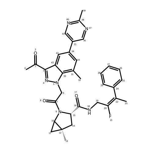 CC(=O)c1nn(CC(=O)N2C3C[C@]3(C)C[C@H]2C(=O)NC/C(F)=C(/C)c2ccccc2)c2c(C)cc(-c3cnc(C)nc3)cc12